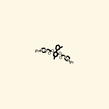 CC1=CC(c2c(OC(=O)CN3CCN(C(C)C)CC3)cc(C)cc2OC(=O)CN2CCN(C(C)C)CC2)CCC1